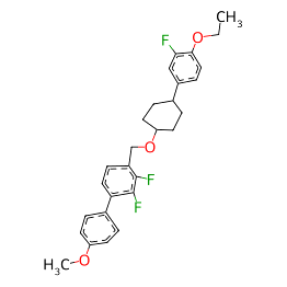 CCOc1ccc(C2CCC(OCc3ccc(-c4ccc(OC)cc4)c(F)c3F)CC2)cc1F